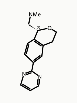 CNC[C@@H]1OCCc2cc(-c3ncccn3)ccc21